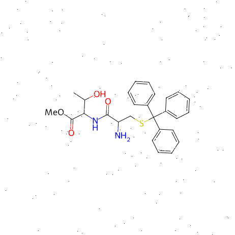 COC(=O)C(NC(=O)C(N)CSC(c1ccccc1)(c1ccccc1)c1ccccc1)C(C)O